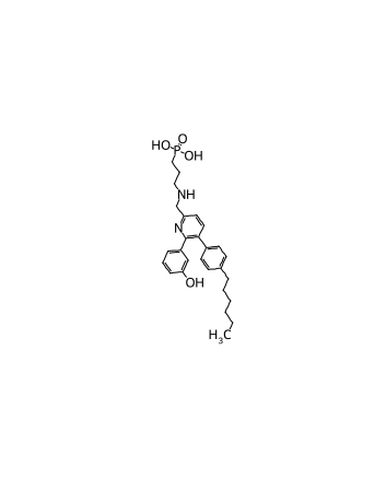 CCCCCCc1ccc(-c2ccc(CNCCCP(=O)(O)O)nc2-c2cccc(O)c2)cc1